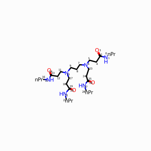 CCCNC(=O)CCN(CCCN(CCC(=O)NCCC)CCC(=O)NCCC)CCC(=O)NCCC